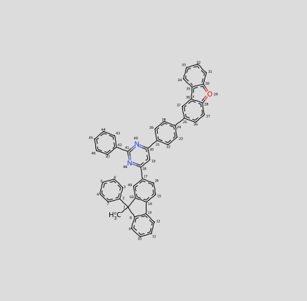 CC1(c2ccccc2)c2ccccc2-c2ccc(-c3cc(-c4ccc(-c5ccc6oc7ccccc7c6c5)cc4)nc(-c4ccccc4)n3)cc21